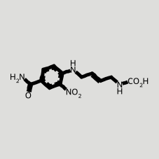 NC(=O)c1ccc(NCC=CCNC(=O)O)c([N+](=O)[O-])c1